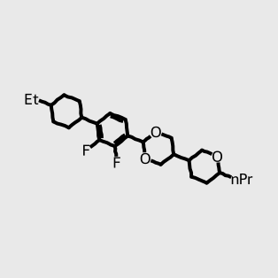 CCCC1CCC(C2COC(c3ccc(C4CCC(CC)CC4)c(F)c3F)OC2)CO1